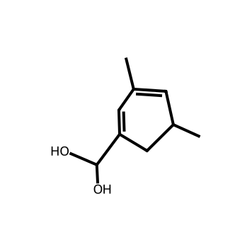 CC1=CC(C)CC(C(O)O)=C1